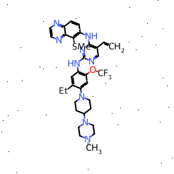 C=Cc1cnc(Nc2cc(CC)c(N3CCC(N4CCN(C)CC4)CC3)cc2OC(F)(F)F)nc1Nc1ccc2nccnc2c1SC